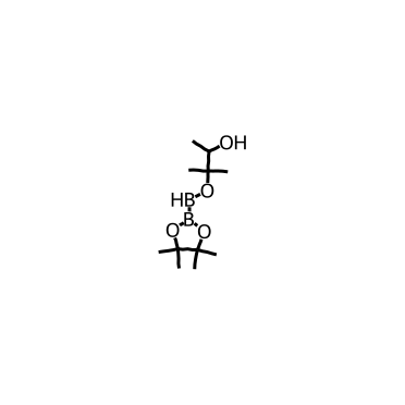 CC(O)C(C)(C)OBB1OC(C)(C)C(C)(C)O1